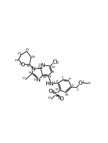 COCc1ccc(Nc2cc(Cl)nc3c2nc(C)n3C2CCCCO2)c(S(C)(=O)=O)c1